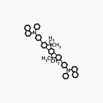 CC1(C)c2cc(-c3ccc(N(c4ccccc4)c4cccc5ccccc45)cc3)ccc2-c2cc3c(cc21)-c1ccc(-c2ccc(N(c4ccccc4)c4cccc5ccccc45)cc2)cc1C3(C)C